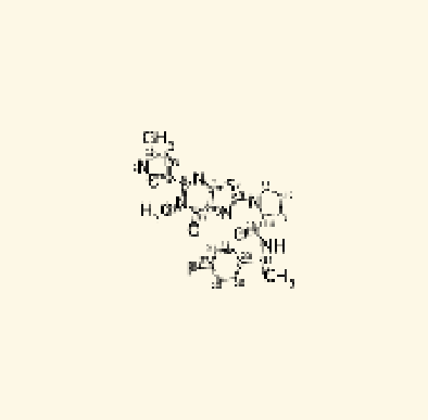 Cc1noc(-c2nc3sc(N4CCCC4C(=O)N[C@H](C)c4ccc(F)cc4)nc3c(=O)n2C)n1